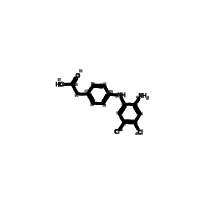 Nc1cc(Cl)c(Cl)cc1Nc1ccc(CC(=O)O)cc1